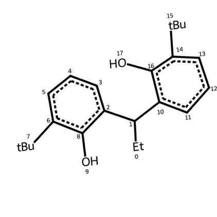 CCC(c1cccc(C(C)(C)C)c1O)c1cccc(C(C)(C)C)c1O